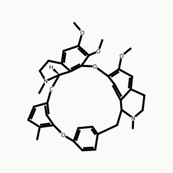 COc1cc2c3cc1Oc1c(OC)c(OC)cc4c1[C@H](Cc1ccc(C)c(c1)Oc1ccc(cc1)CC3N(C)CC2)N(C)CC4